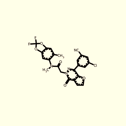 Cc1cc2c(cc1N(C)C(=O)Cn1nc(-c3cc(Cl)cc(C#N)c3)c3occc3c1=O)OC(F)(F)O2